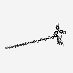 CCCOCCOCCOCCOCCOCCOCCOCCOCCOCCOCCOCCOc1cc(NC2CCN(S(=O)(=O)C(F)(F)F)CC2)c2cc(C(c3ccc(Cl)cc3)c3ccc(Cl)cc3)ccc2n1